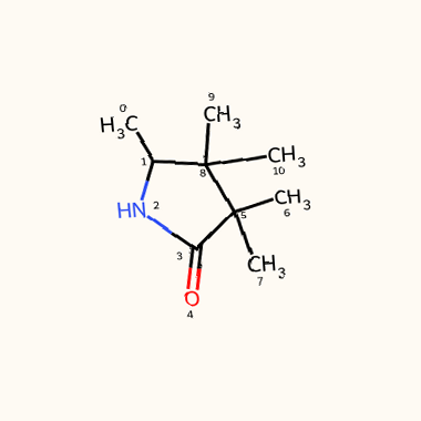 CC1NC(=O)C(C)(C)C1(C)C